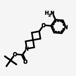 CC(C)(C)OC(=O)N1CC2(CC(Oc3ccncc3N)C2)C1